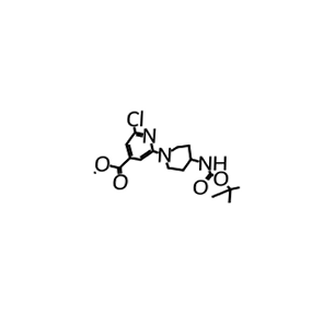 COC(=O)c1cc(Cl)nc(N2CCC(NC(=O)OC(C)(C)C)CC2)c1